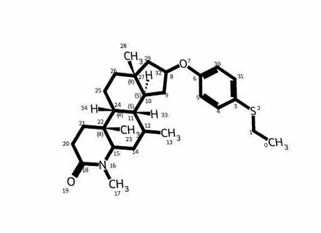 CCSc1ccc(OC2C[C@H]3[C@@H]4C(C)CC5N(C)C(=O)CC[C@]5(C)[C@@H]4CC[C@]3(C)C2)cc1